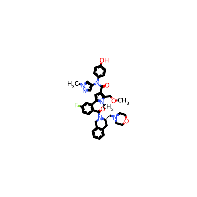 COCc1c(C(=O)N(c2ccc(O)cc2)c2cnn(C)c2)cc(-c2cc(F)ccc2C(=O)N2Cc3ccccc3C[C@H]2CN2CCOCC2)n1C